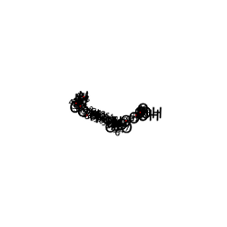 CC[C@@H]([C@H](C)OC(=O)OCCOCCOP(=O)(O)O)n1ncn(-c2ccc(N3CCN(c4ccc(OC[C@@H]5CO[C@](C)(Cn6cncn6)C5)cc4)CC3)cc2)c1=O